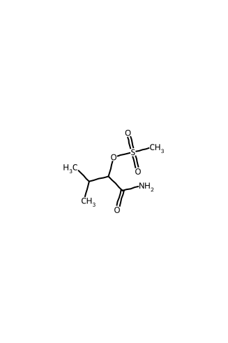 CC(C)C(OS(C)(=O)=O)C(N)=O